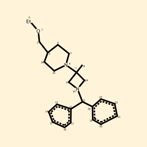 CCOCC1CCN(C2(C)CN(C(c3ccccc3)c3ccccc3)C2)CC1